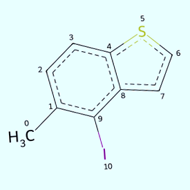 Cc1ccc2sccc2c1I